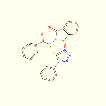 O=C(c1ccccc1)C(Sc1nnnn1-c1ccccc1)N1C(=O)c2ccccc2C1=O